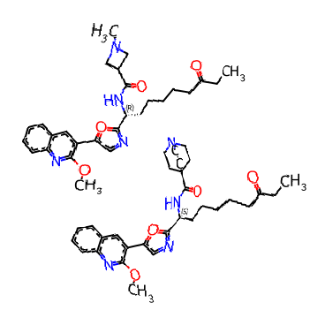 CCC(=O)CCCCC[C@@H](NC(=O)C1CN(C)C1)c1ncc(-c2cc3ccccc3nc2OC)o1.CCC(=O)CCCCC[C@H](NC(=O)C12CCN(CC1)CC2)c1ncc(-c2cc3ccccc3nc2OC)o1